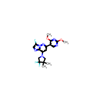 COc1ncc(-c2cc(N3CC(C)(C)C(F)(F)C3)c3ncc(F)n3n2)c(OC)n1